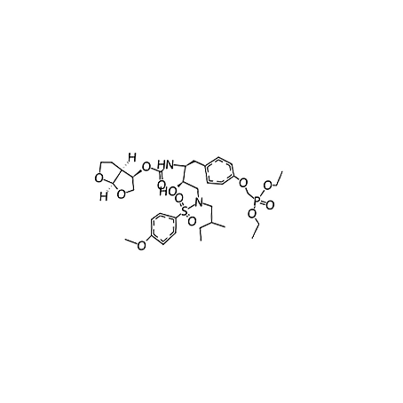 CCOP(=O)(COc1ccc(C[C@H](NC(=O)O[C@H]2CO[C@H]3OCC[C@H]32)[C@H](O)CN(CC(C)CC)S(=O)(=O)c2ccc(OC)cc2)cc1)OCC